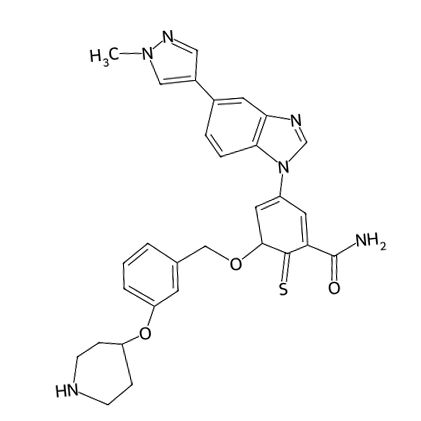 Cn1cc(-c2ccc3c(c2)ncn3C2=CC(OCc3cccc(OC4CCNCC4)c3)C(=S)C(C(N)=O)=C2)cn1